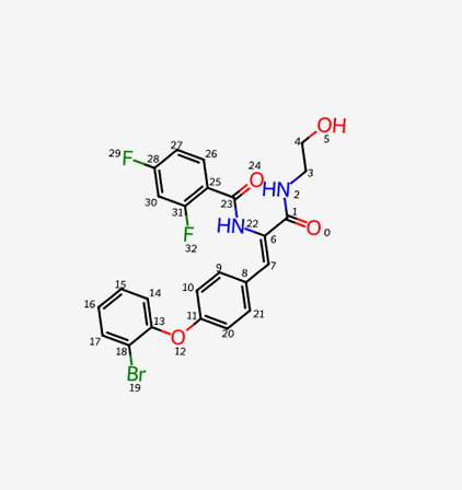 O=C(NCCO)/C(=C/c1ccc(Oc2ccccc2Br)cc1)NC(=O)c1ccc(F)cc1F